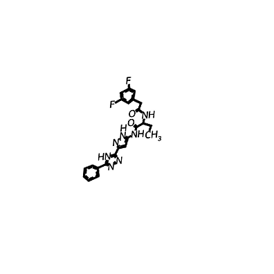 CCC(NC(=O)Cc1cc(F)cc(F)c1)C(=O)Nc1cc(-c2nnc(-c3ccccc3)[nH]2)n[nH]1